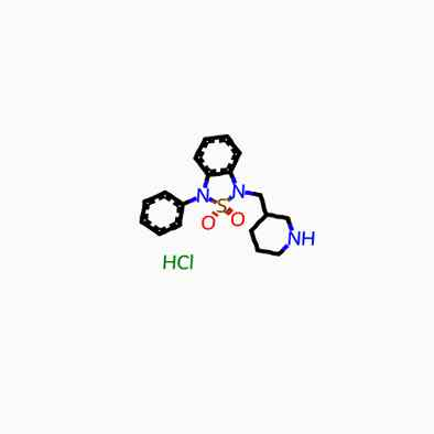 Cl.O=S1(=O)N(CC2CCCNC2)c2ccccc2N1c1ccccc1